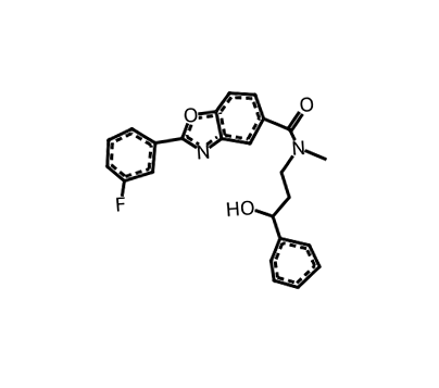 CN(CCC(O)c1ccccc1)C(=O)c1ccc2oc(-c3cccc(F)c3)nc2c1